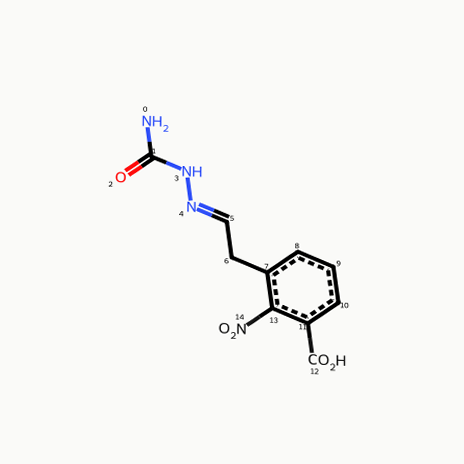 NC(=O)NN=CCc1cccc(C(=O)O)c1[N+](=O)[O-]